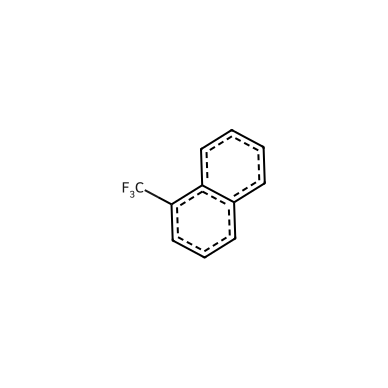 FC(F)(F)c1cccc2ccccc12